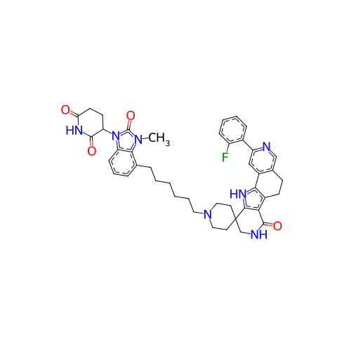 Cn1c(=O)n(C2CCC(=O)NC2=O)c2cccc(CCCCCCN3CCC4(CC3)CNC(=O)c3c4[nH]c4c3CCc3cnc(-c5ccccc5F)cc3-4)c21